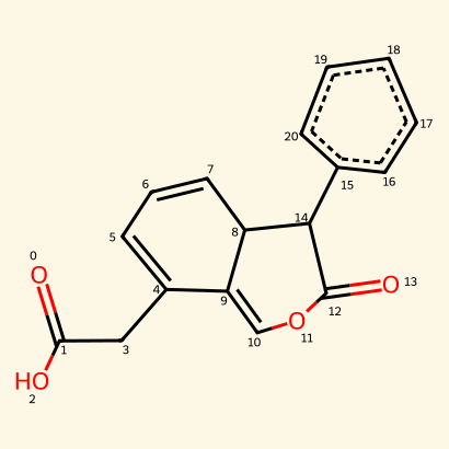 O=C(O)CC1=CC=CC2C1=COC(=O)C2c1ccccc1